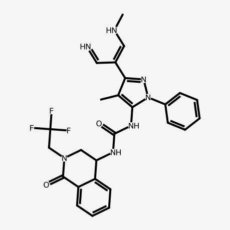 CN/C=C(\C=N)c1nn(-c2ccccc2)c(NC(=O)NC2CN(CC(F)(F)F)C(=O)c3ccccc32)c1C